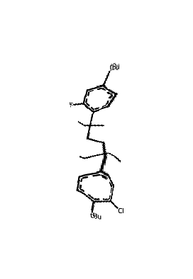 CC(C)(C)c1ccc(C(C)(C)CCC(C)(C)c2ccc(C(C)(C)C)c(Cl)c2)c(F)c1